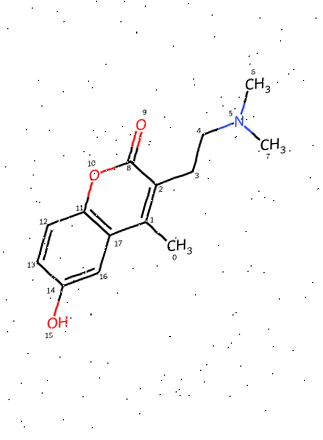 Cc1c(CCN(C)C)c(=O)oc2ccc(O)cc12